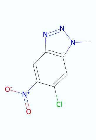 Cn1nnc2cc([N+](=O)[O-])c(Cl)cc21